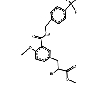 COC(=O)C(Br)Cc1ccc(OC)c(C(=O)NCc2ccc(C(F)(F)F)cc2)c1